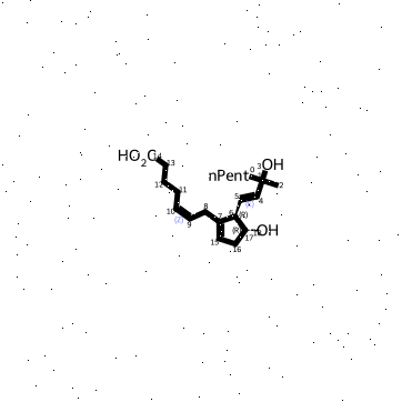 CCCCCC(C)(O)/C=C/[C@@H]1C(C/C=C\CCCC(=O)O)=CC[C@H]1O